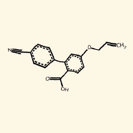 C=CCOc1ccc(C(=O)O)c(-c2ccc(C#N)cc2)c1